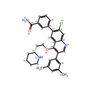 Cc1cc(C)cc(-c2cnc3cc(Cl)c(-c4cccc(C(N)=O)c4)cc3c2OCC[C@H]2CCCCN2)c1